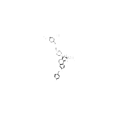 Cl.N#CC1(C(=O)O)CCC(COCCN2CCN(c3nc(N)nc4c3CCc3cc(OCc5ccc(Cl)cc5)ccc3-4)CC2)CC1